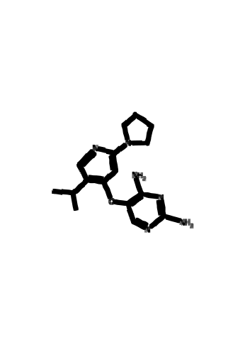 CC(C)c1cnc(N2CCCC2)cc1Oc1cnc(N)nc1N